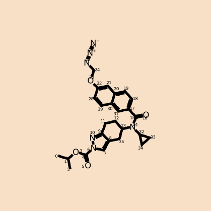 CC(C)OC(=O)n1cc2c(n1)CCC(N(C(=O)c1ccc3cc(OCN=[N+]=[N-])ccc3c1)C1CC1)C2